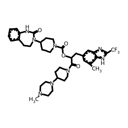 Cc1cc(CC(OC(=O)N2CCC(N3CCc4ccccc4NC3=O)CC2)C(=O)N2CCC(N3CCN(C)CC3)CC2)cc2nc(C(F)(F)F)[nH]c12